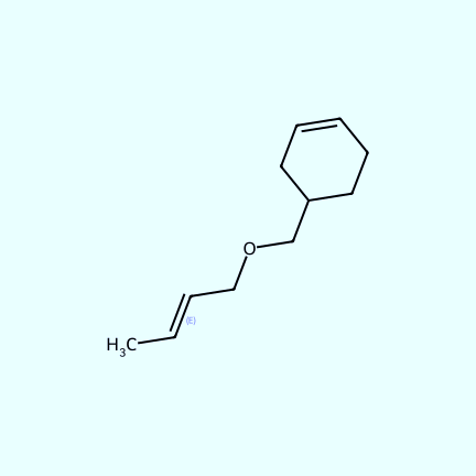 C/C=C/COCC1CC=CCC1